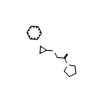 O=C(CNC1C[C@@H]1c1ccccc1)N1CCCC1